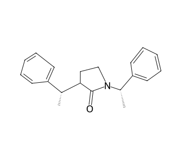 C[C@H](c1ccccc1)C1CCN([C@@H](C)c2ccccc2)C1=O